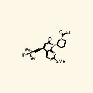 CCC(=O)N1CCC[C@@H](n2c(=O)cc(C#C[Si](C(C)C)(C(C)C)C(C)C)c3cnc(SC)nc32)C1